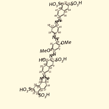 COc1cc(N=Nc2c(S(=O)(=O)O)cc3cc(-n4nc5ccc6c(S(=O)(=O)O)cc(S(=O)(=O)O)cc6c5n4)ccc3c2O)c(OC)cc1N=Nc1ccc(N=Nc2ccc3c(S(=O)(=O)O)cc(S(=O)(=O)O)cc3c2)c(C)c1